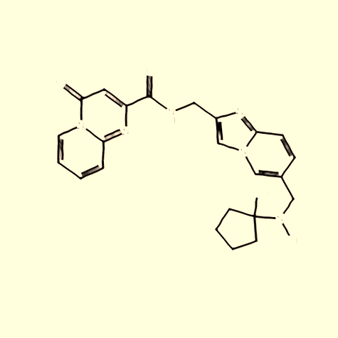 CN(Cc1ccc2nc(CNC(=O)c3cc(=O)n4ccccc4n3)cn2c1)C1(O)CCCC1